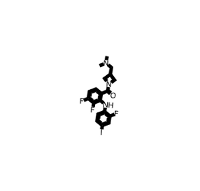 CN(C)CC1CN(C(=O)c2ccc(F)c(F)c2Nc2ccc(I)cc2F)C1